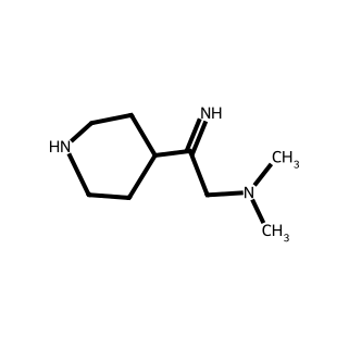 CN(C)CC(=N)C1CCNCC1